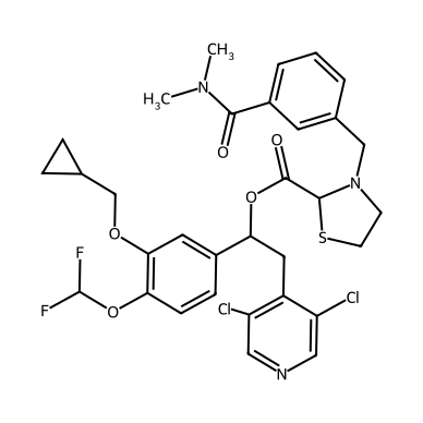 CN(C)C(=O)c1cccc(CN2CCSC2C(=O)OC(Cc2c(Cl)cncc2Cl)c2ccc(OC(F)F)c(OCC3CC3)c2)c1